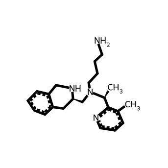 Cc1cccnc1[C@H](C)N(CCCCN)C[C@H]1Cc2ccccc2CN1